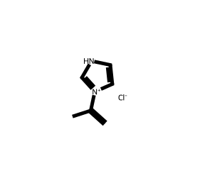 C=C(C)[n+]1cc[nH]c1.[Cl-]